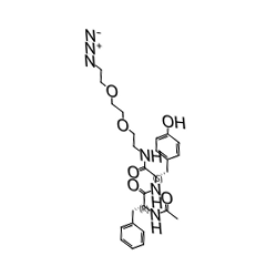 CC(=O)N[C@H](Cc1ccccc1)C(=O)N[C@@H](Cc1ccc(O)cc1)C(=O)NCCOCCOCCN=[N+]=[N-]